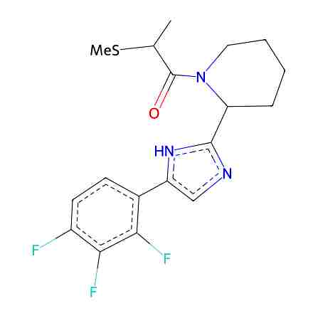 CSC(C)C(=O)N1CCCCC1c1ncc(-c2ccc(F)c(F)c2F)[nH]1